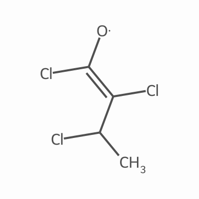 CC(Cl)/C(Cl)=C(/[O])Cl